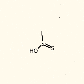 OS(=S)I